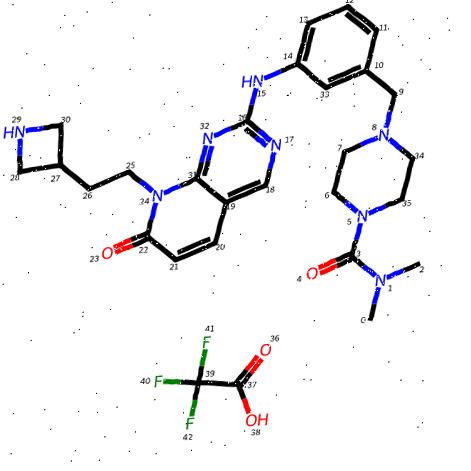 CN(C)C(=O)N1CCN(Cc2cccc(Nc3ncc4ccc(=O)n(CCC5CNC5)c4n3)c2)CC1.O=C(O)C(F)(F)F